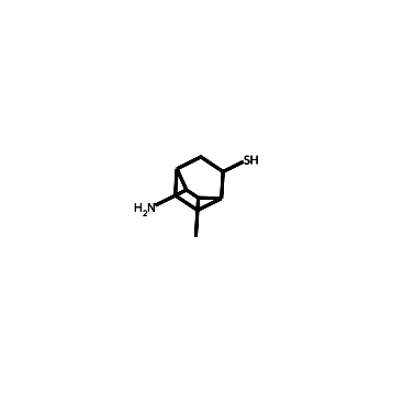 CC1C(N)C2CCC1C(S)C2